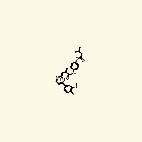 C=C(/C=C1/N=CC=C(c2ccc(C)c(OC)c2)N1)C(=O)Nc1ccc(OC(=O)[C@@H](C)C(C)C)cc1